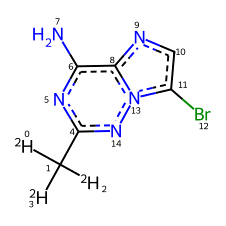 [2H]C([2H])([2H])c1nc(N)c2ncc(Br)n2n1